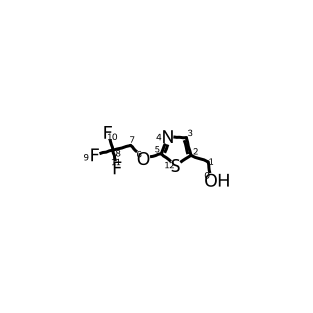 OCc1cnc(OCC(F)(F)F)s1